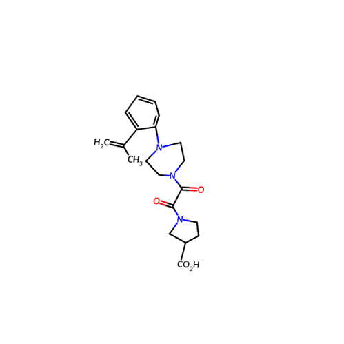 C=C(C)c1ccccc1N1CCN(C(=O)C(=O)N2CCC(C(=O)O)C2)CC1